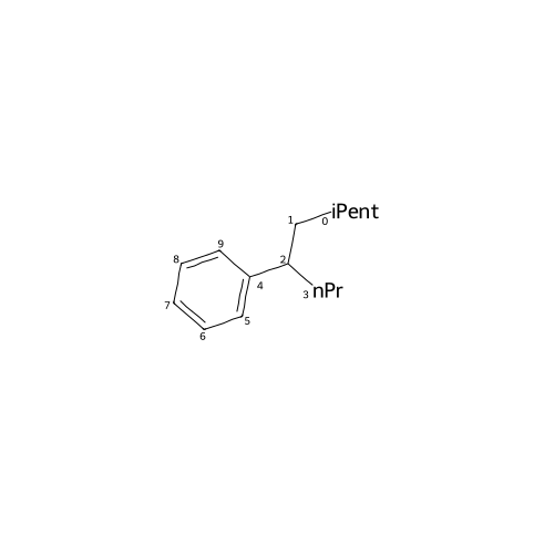 [CH2]C(CCC)CC(CCC)c1ccccc1